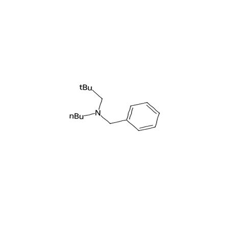 CCCCN(Cc1ccccc1)CC(C)(C)C